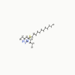 CCCCCCCCCCCCSC(N)(CCCC)CCCC